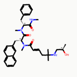 CNC(=O)[C@@H](Cc1ccccc1)N(C)C(=O)[C@@H](Cc1ccc2ccccc2c1)N(C)C(=O)C=CCC(C)(C)NC[C@@H](C)O